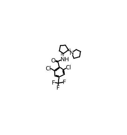 O=C(N[C@@H]1CCC[C@@H]1N1CCCC1)c1c(Cl)cc(C(F)(F)F)cc1Cl